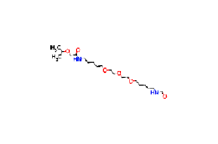 CC(C)OCC(=O)NCCCCCOCCOCCOCCCCCNC=O